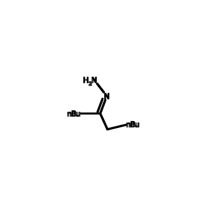 CCCCCC(CCCC)=NN